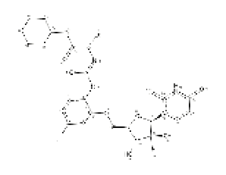 CC[C@H](/N=[P+](\[O-])Oc1ccc(F)cc1OC[C@H]1O[C@@H](n2ccc(=O)[nH]c2=O)[C@](C)(F)[C@@H]1O)C(=O)OC1CCCCC1